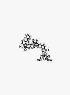 CC(C)(C)OC(=O)N[C@H](CC(=O)Nc1ccc(CC(=O)N[C@@H]2C(=O)N3C(C(=O)OC(c4ccccc4)c4ccccc4)=C(COC(N)=O)CS[C@@H]23)cc1)C(=O)OC(C)(C)C